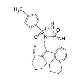 Cc1ccc(S(=O)(=O)N2c3ccc4c(c3-c3c(ccc5c3CCCC5)NP2(=O)O)CCCC4)cc1